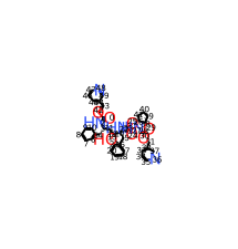 O=C(N[C@@H](Cc1ccccc1)C[C@H](O)[C@H](Cc1ccccc1)NC(=O)OC1(NC(=O)OCc2cccnc2)CCCC1)OCc1cccnc1